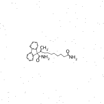 C=C(CCCCCCCC(N)=O)C1(C(N)=O)c2ccccc2-c2ccccc21